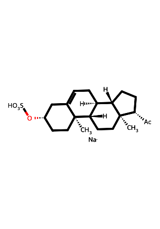 CC(=O)[C@H]1CC[C@H]2[C@@H]3CC=C4C[C@@H](OS(=O)(=O)O)CC[C@]4(C)[C@H]3CC[C@]12C.[Na]